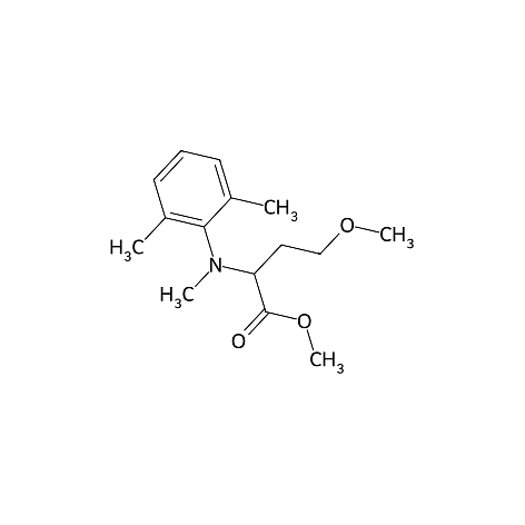 COCCC(C(=O)OC)N(C)c1c(C)cccc1C